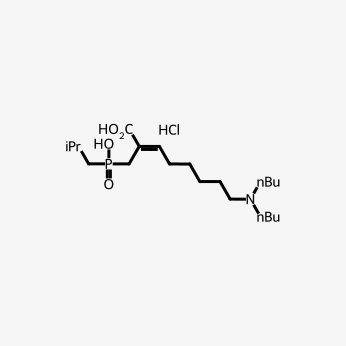 CCCCN(CCCC)CCCCCC=C(CP(=O)(O)CC(C)C)C(=O)O.Cl